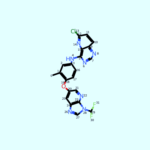 Cc1cc(Nc2ncnc3ccc(Cl)nc23)ccc1Oc1cnc2c(c1)ncn2C(F)F